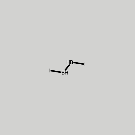 IBBI